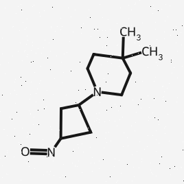 CC1(C)CCN(C2CC(N=O)C2)CC1